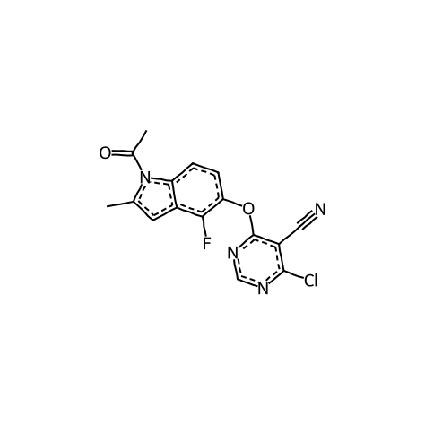 CC(=O)n1c(C)cc2c(F)c(Oc3ncnc(Cl)c3C#N)ccc21